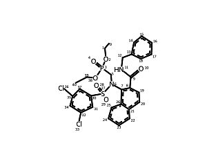 CCOP(=O)(CN(c1c(C(=O)NCc2ccccc2)ccc2ccccc12)S(=O)(=O)c1cc(Cl)cc(Cl)c1)OCC